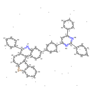 c1ccc(-c2cc(-c3ccc(-c4ccc5c(c4)nc(-c4ccccc4)c4ccc6sc7ccccc7c6c45)cc3)nc(-c3ccccc3)n2)cc1